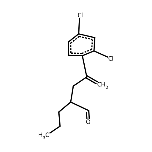 C=C(CC(C=O)CCC)c1ccc(Cl)cc1Cl